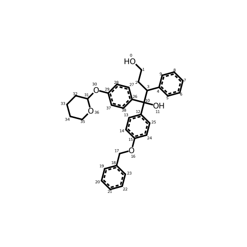 OCCC(c1ccccc1)C(O)(c1ccc(OCc2ccccc2)cc1)c1ccc(OC2CCCCO2)cc1